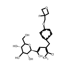 C/C(=C\C(Cc1ccc(OCC2(F)COC2)cc1)=C(/C)Cl)[C@@H]1OC(CO)[C@@H](O)C(O)[C@H]1O